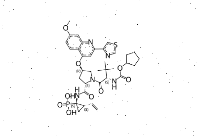 C=C[C@@H]1C[C@]1(NC(=O)[C@@H]1C[C@@H](Oc2cc(-c3cscn3)nc3cc(OC)ccc23)CN1C(=O)[C@@H](NC(=O)OC1CCCC1)C(C)(C)C)P(=O)(O)O